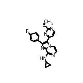 CSc1nccc(-c2c(-c3ccc(F)cc3)nc3c(NC4CC4)nccn23)n1